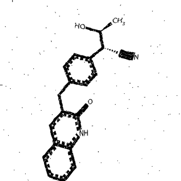 C[C@H](O)[C@H](C#N)c1ccc(Cc2cc3ccccc3[nH]c2=O)cc1